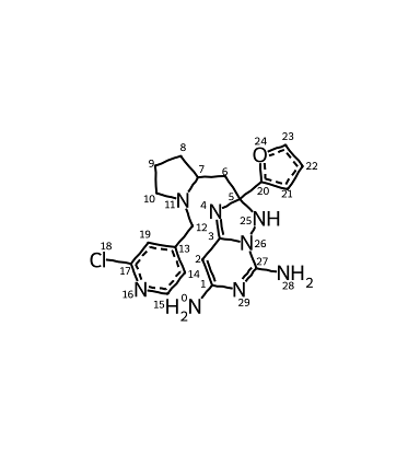 NC1=CC2=NC(CC3CCCN3Cc3ccnc(Cl)c3)(c3ccco3)NN2C(N)=N1